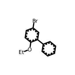 [CH2]COc1ccc(Br)cc1-c1ccccc1